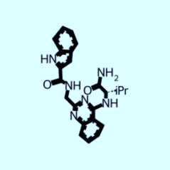 CC(C)[C@H](Nc1nc(CNC(=O)c2cc3ccccc3[nH]2)nc2ccccc12)C(N)=O